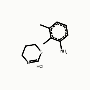 C1=NCCCS1.Cc1cccc(N)c1C.Cl